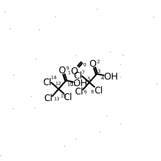 C=O.O=C(O)C(Cl)(Cl)Cl.O=C(O)C(Cl)(Cl)Cl